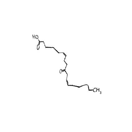 CCCCC/C=C\CC(=O)CC/C=C\CCCCC(=O)O